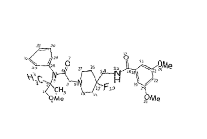 COCC(C)(C)N(C(=O)CN1CCC(F)(CNC(=O)c2cc(OC)cc(OC)c2)CC1)c1ccccc1